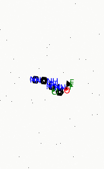 CN1CCN(c2ccc(Nc3ncc(Cl)c(N(C)c4ccccc4NC(=O)[C@@H]4CC4(F)F)n3)cc2)CC1